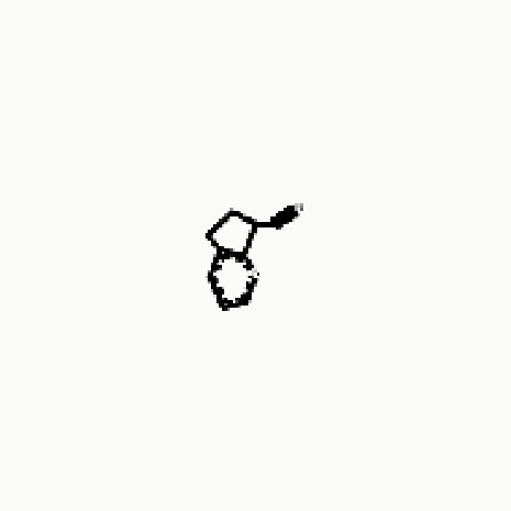 N#CC1CCc2cccnc21